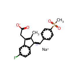 CC1=C(CC(=O)[O-])c2cc(F)ccc2/C1=C/c1ccc(S(C)(=O)=O)cc1.[Na+]